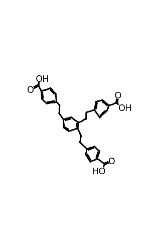 O=C(O)c1ccc(CCc2ccc(CCc3ccc(C(=O)O)cc3)c(CCc3ccc(C(=O)O)cc3)c2)cc1